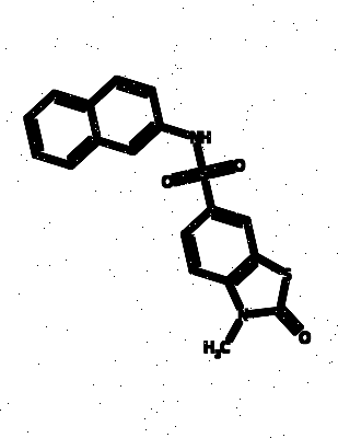 Cn1c(=O)sc2cc(S(=O)(=O)Nc3ccc4ccccc4c3)ccc21